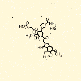 Br.COc1cc2c(c(F)c1OC)C(=N)N(CC(=O)c1cc(N3CCC(C(N)=O)C3)c(OCCCC(=O)O)c(C(C)(C)C)c1)C2